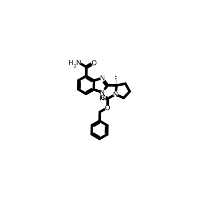 C[C@]1(c2nc3c(C(N)=O)cccc3[nH]2)CCCN1C(=O)OCc1ccccc1